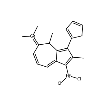 CC1=[C]([Hf]([Cl])[Cl])C2=CC=C[C](=[Ge]([CH3])[CH3])C(C)C2=C1C1=CC=CC1